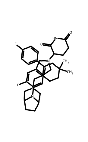 CC1(C)CCC(CN2CC3CCC(C2)N3c2cc3c(cc2F)CN(C2CCC(=O)NC2=O)C3)=C(c2ccc(F)cc2)C1